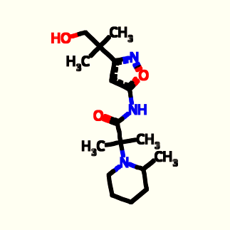 CC1CCCCN1C(C)(C)C(=O)Nc1cc(C(C)(C)CO)no1